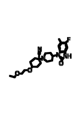 CCOCCOC1CCC(C#N)(N2CCC(n3c(=O)[nH]c4cc(F)c(C)cc43)CC2)CC1